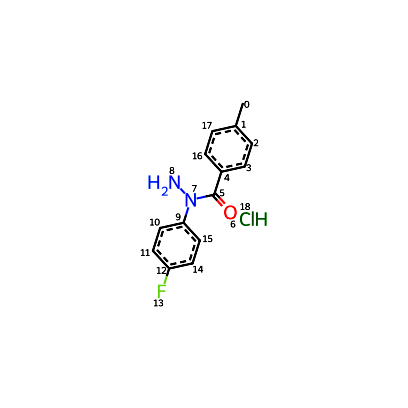 Cc1ccc(C(=O)N(N)c2ccc(F)cc2)cc1.Cl